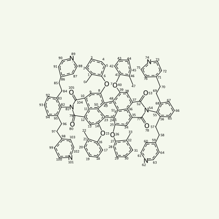 Cc1ccccc1Oc1cc2c3c(cc(Oc4ccccc4C)c4c5c(Oc6ccccc6C)cc6c7c(cc(Oc8ccccc8C)c(c1c34)c75)C(=O)N(c1c(CCc3ccncc3)cccc1CCc1ccncc1)C6=O)C(=O)N(c1c(CCc3ccncc3)cccc1CCc1ccncc1)C2=O